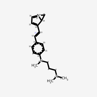 CN(C)CCCN(C)c1ccc(/C=C/C2=CC=[N+]3CC23)cc1